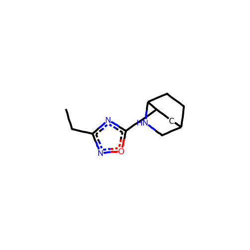 CCc1noc(C2CC3CCC2NC3)n1